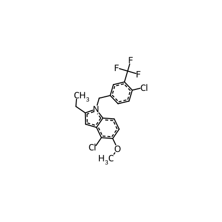 CCc1cc2c(Cl)c(OC)ccc2n1Cc1ccc(Cl)c(C(F)(F)F)c1